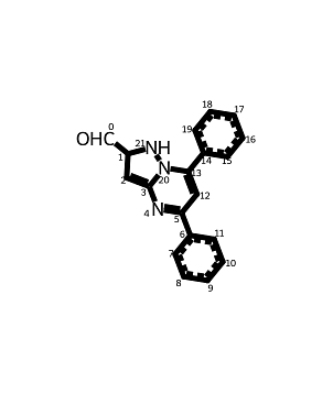 O=CC1C=C2N=C(c3ccccc3)C=C(c3ccccc3)N2N1